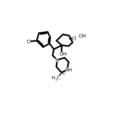 C[C@H]1CN(CC(c2cccc(Cl)c2)C2(O)CCCCC2)CCN1.Cl.Cl